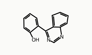 Oc1ccccc1-c1ncnc2ccccc12